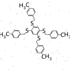 Cc1ccc(CSc2cc(SCc3ccc(C)cc3)c(SCc3ccc(C)cc3)cc2SCc2ccc(C)cc2)cc1